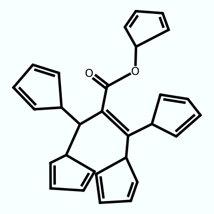 O=C(OC1C=CC=C1)C(=C(C1C=CC=C1)C1C=CC=C1)C(C1C=CC=C1)C1C=CC=C1